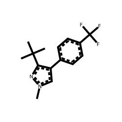 Cn1cc(-c2ccc(C(F)(F)F)cc2)c(C(C)(C)C)n1